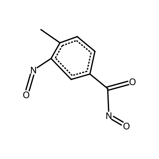 Cc1ccc(C(=O)N=O)cc1N=O